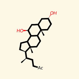 CC(=O)CC[C@@H](C)[C@H]1CCC2C3C(CC[C@@]21C)[C@@]1(C)CC[C@@H](O)CC1C[C@@H]3O